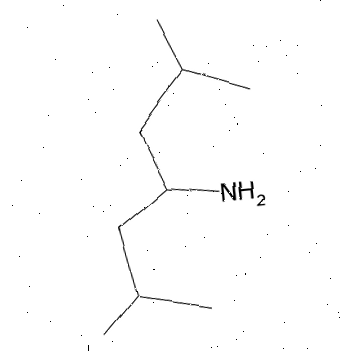 CC(C)CC(N)CC(C)C